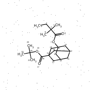 CCC(C)(C)C(=O)OC12CC3CC(C1)CC(C(=O)OC(C)(C)C)(C3)C2